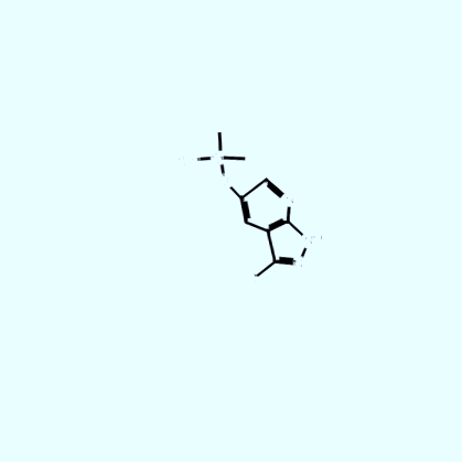 CC(C)(C)[Si](C)(C)Oc1cnc2[nH]nc(I)c2c1